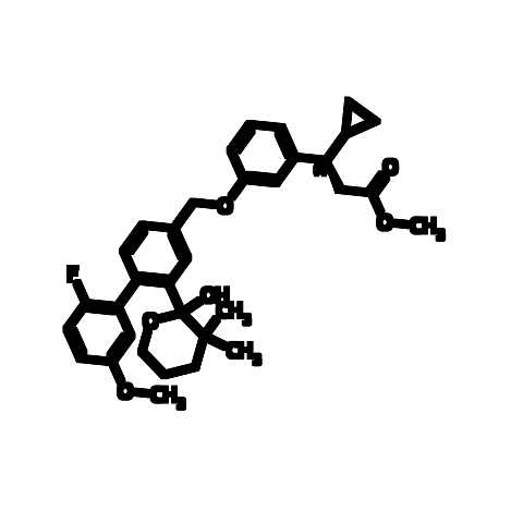 COC(=O)C[C@@H](c1cccc(OCc2ccc(-c3cc(OC)ccc3F)c(C3(O)OCCCC3(C)C)c2)c1)C1CC1